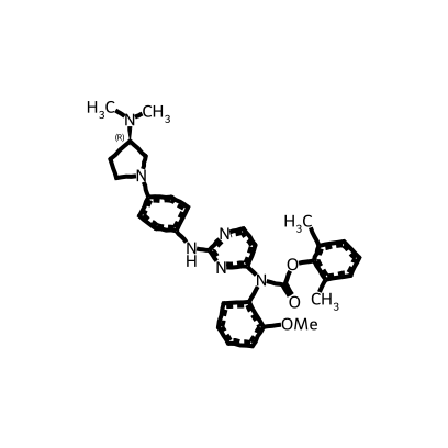 COc1ccccc1N(C(=O)Oc1c(C)cccc1C)c1ccnc(Nc2ccc(N3CC[C@@H](N(C)C)C3)cc2)n1